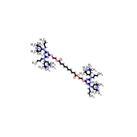 CCCCN(c1nc(OCCOC(=O)CCCCCCCCC(=O)OCCOc2nc(N(CCCC)C3CC(C)(C)NC(C)(C)C3)nc(N(CCCC)C3CC(C)(C)NC(C)(C)C3)n2)nc(N(CCCC)C2CC(C)(C)NC(C)(C)C2)n1)C1CC(C)(C)NC(C)(C)C1